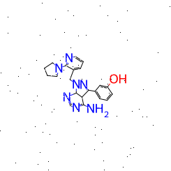 NC1=NC=NC2C1C(c1cccc(O)c1)=NN2Cc1cccnc1N1CCCC1